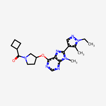 CCn1ncc(-c2nc3c(OC4CCN(C(=O)C5CCC5)C4)ncnc3n2C)c1C